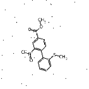 COC(=O)c1ccc(-c2ccccc2SC)c([N+](=O)[O-])c1